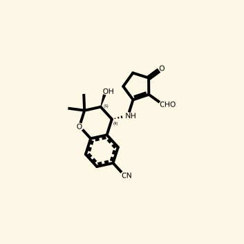 CC1(C)Oc2ccc(C#N)cc2[C@@H](NC2=C(C=O)C(=O)CC2)[C@@H]1O